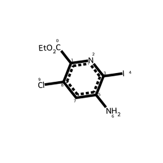 CCOC(=O)c1nc(I)c(N)cc1Cl